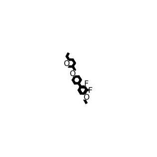 CCOc1ccc(C2CCC(OCC3CCC(CC)OC3)CC2)c(F)c1F